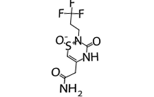 NC(=O)CC1=C[S+]([O-])N(CCC(F)(F)F)C(=O)N1